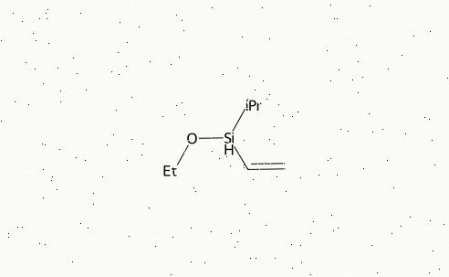 C=C[SiH](OCC)C(C)C